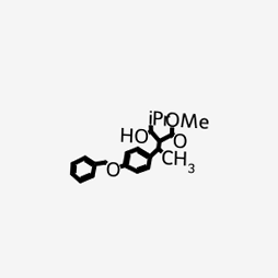 COC(=O)C(C(C)c1ccc(OCc2ccccc2)cc1)C(O)C(C)C